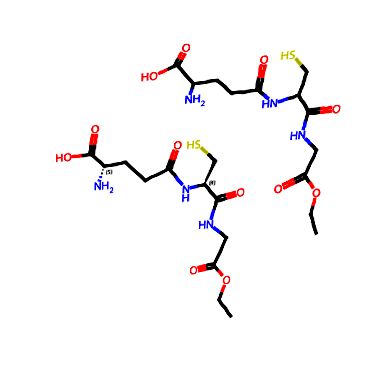 CCOC(=O)CNC(=O)C(CS)NC(=O)CCC(N)C(=O)O.CCOC(=O)CNC(=O)[C@H](CS)NC(=O)CC[C@H](N)C(=O)O